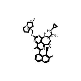 C#Cc1c(F)ccc2cccc(-c3nc4c5c(nc(OC[C@@]67CCCN6C[C@H](F)C7)nc5c3F)N[C@@H]([C@H](CC)NC3CC3)C[C@H]4C)c12